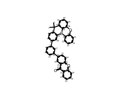 CC1(C)c2ccc(-c3cccc(-c4ccc5oc6ccccc6c(=O)c5c4)c3)cc2N2c3ccccc3Oc3cccc1c32